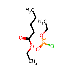 CCCCC(=O)OCC.CCO[PH](=O)Cl